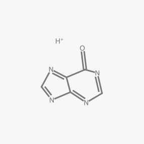 O=C1N=CN=C2N=CN=C12.[H+]